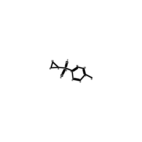 Cc1ccc(S(=O)(=O)C2CC2)cc1